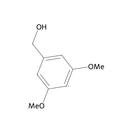 COc1[c]c(OC)cc(CO)c1